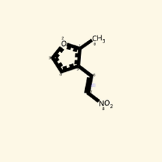 Cc1occc1/C=C/[N+](=O)[O-]